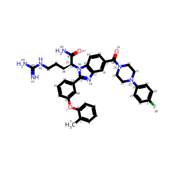 Cc1ccccc1Oc1cccc(-c2nc3cc(C(=O)N4CCN(c5ccc(F)cc5)CC4)ccc3n2[C@@H](CCCNC(=N)N)C(N)=O)c1